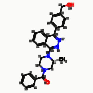 C[C@@H]1CN(C(=O)c2ccccc2)CCN1c1nnc(-c2ccc(CO)cc2)c2ccccc12